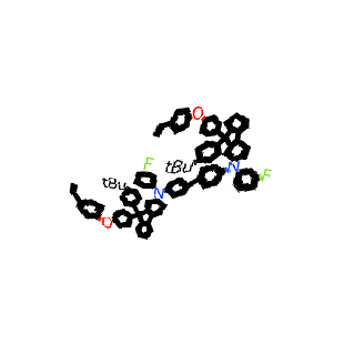 C=Cc1ccc(Oc2ccc(C3(c4ccc(C(C)(C)C)cc4)c4ccccc4-c4ccc(N(c5ccc(-c6ccc(N(c7cccc(F)c7)c7ccc8c(c7)C(c7ccc(Oc9ccc(C=C)cc9)cc7)(c7ccc(C(C)(C)C)cc7)c7ccccc7-8)cc6)cc5)c5cccc(F)c5)cc43)cc2)cc1